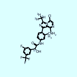 [2H]C([2H])([2H])c1nc(-c2ccc(NC(=O)[C@@H](O)c3cc(F)cc(C(F)(F)F)c3)cc2C)c2c(N)ncc(Cl)n12